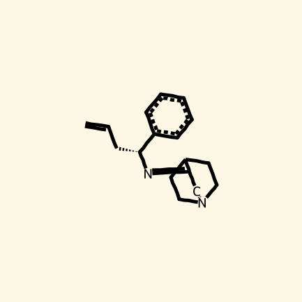 C=CC[C@@H](N=C1CN2CCC1CC2)c1ccccc1